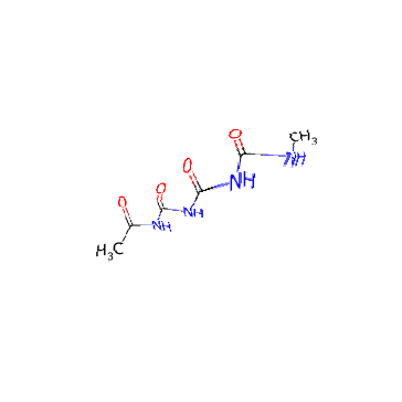 CNC(=O)NC(=O)NC(=O)NC(C)=O